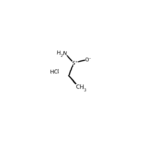 CC[S+](N)[O-].Cl